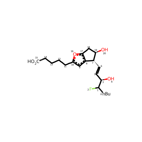 CCCCC(F)[C@H](O)C=C[C@@H]1c2cc(CCCCC(=O)O)oc2C[C@H]1O